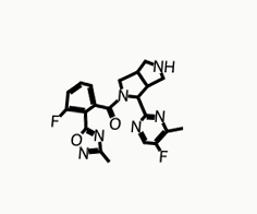 Cc1noc(-c2c(F)cccc2C(=O)N2CC3CNCC3C2c2ncc(F)c(C)n2)n1